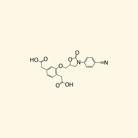 N#Cc1ccc(N2CC(COc3cc(CC(=O)O)ccc3CC(=O)O)OC2=O)cc1